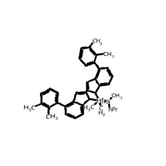 CCC[Si](C)=[Hf]([CH3])([CH3])([CH]1C=Cc2c(-c3cccc(C)c3C)cccc21)[CH]1C=Cc2c(-c3cccc(C)c3C)cccc21